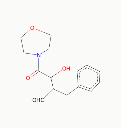 O=[C]C(Cc1ccccc1)C(O)C(=O)N1CCOCC1